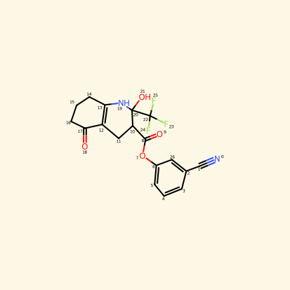 N#Cc1cccc(OC(=O)C2CC3=C(CCCC3=O)NC2(O)C(F)(F)F)c1